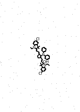 CCN1/C(=C/C=C2\CCC(/C=C/C3(O)N(CC)c4ccc(Cl)cc4C3(C)C)=C2N(c2ccccc2)c2ccccc2)C(C)(C)c2cc(Cl)ccc21